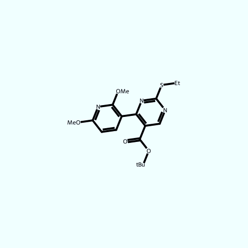 CCSc1ncc(C(=O)OC(C)(C)C)c(-c2ccc(OC)nc2OC)n1